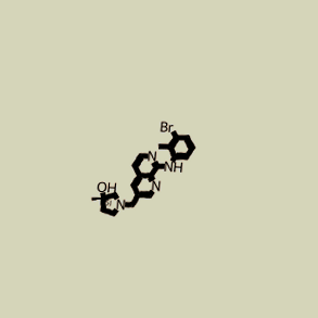 Cc1c(Br)cccc1Nc1nccc2cc(CN3CC[C@](C)(O)C3)cnc12